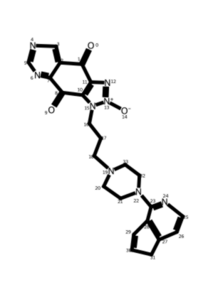 O=C1c2cncnc2C(=O)c2c1n[n+]([O-])n2CCCN1CCN(c2nccc3c2C=CC3)CC1